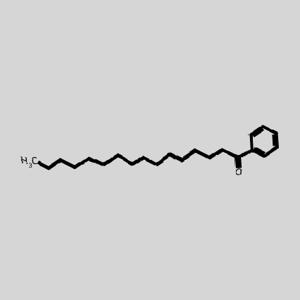 CCCCCCCCCCCCCCCC(=O)c1[c]cccc1